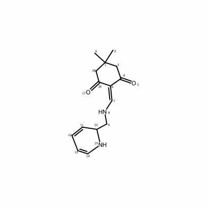 CC1(C)CC(=O)C(=CNCC2C=CC=CN2)C(=O)C1